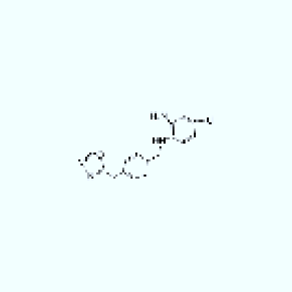 Nc1cc(Cl)ccc1NCc1ccc(Cc2nnco2)cc1